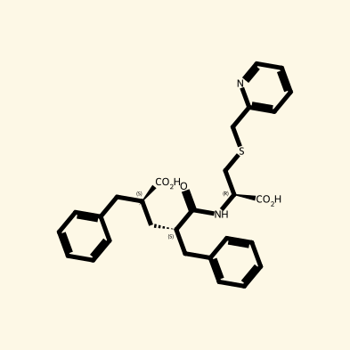 O=C(O)[C@H](Cc1ccccc1)C[C@@H](Cc1ccccc1)C(=O)N[C@@H](CSCc1ccccn1)C(=O)O